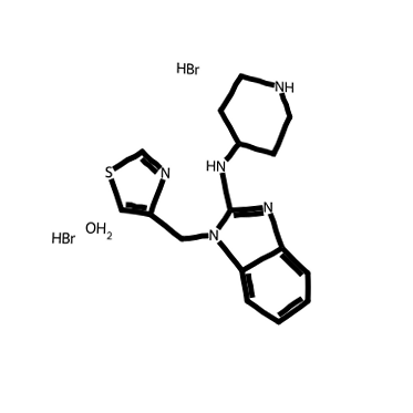 Br.Br.O.c1ccc2c(c1)nc(NC1CCNCC1)n2Cc1cscn1